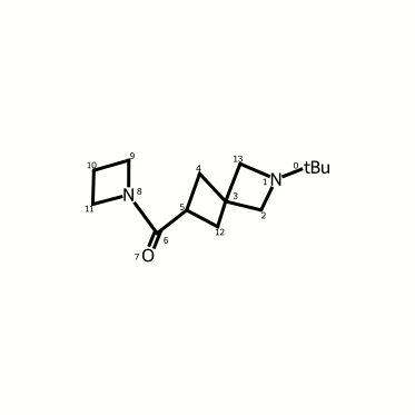 CC(C)(C)N1CC2(CC(C(=O)N3CCC3)C2)C1